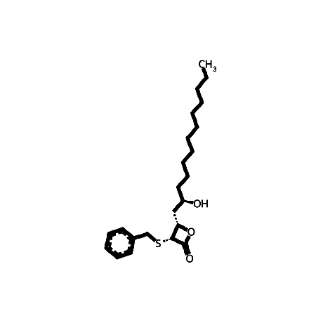 CCCCCCCCCCC[C@@H](O)C[C@@H]1OC(=O)[C@@H]1SCc1ccccc1